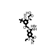 Br.CCOc1cc2c(cc1C(=O)NC)C(=N)N(CC(=O)c1cc(N(C)CC(=O)O)c(O)c(C(C)(C)C)c1)C2